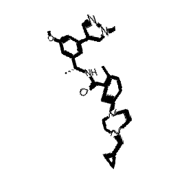 COc1cc(-c2cnn(C)c2)cc([C@@H](C)NC(=O)c2cc(N3CCN(CC4CC4)CC3)ccc2C)c1